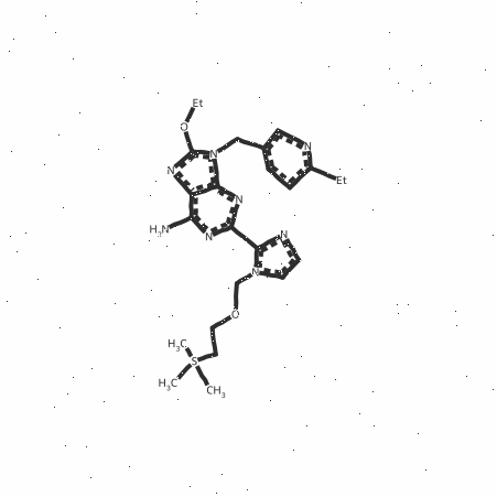 CCOc1nc2c(N)nc(-c3nccn3COCCS(C)(C)C)nc2n1Cc1ccc(CC)nc1